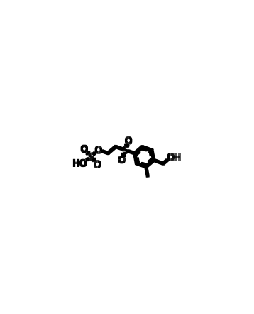 Cc1cc(S(=O)(=O)CCOS(=O)(=O)O)ccc1CO